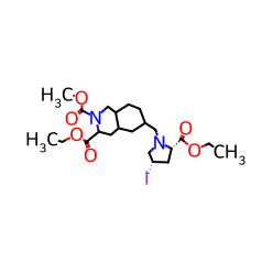 CCOC(=O)C1CC2CC(CN3C[C@@H](I)C[C@H]3C(=O)OCC)CCC2CN1C(=O)OC